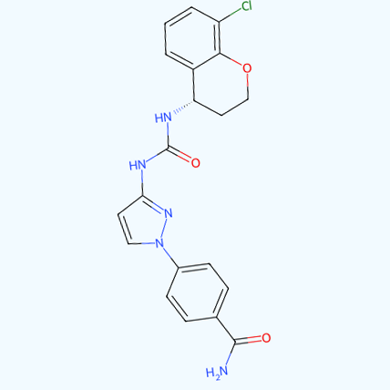 NC(=O)c1ccc(-n2ccc(NC(=O)N[C@H]3CCOc4c(Cl)cccc43)n2)cc1